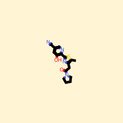 Cc1sc(-c2ncc(C#N)cc2O)nc1CC(=O)N1CCCC1